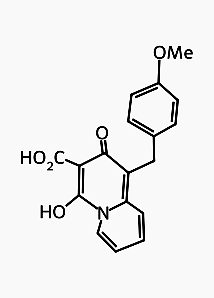 COc1ccc(Cc2c(=O)c(C(=O)O)c(O)n3ccccc23)cc1